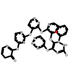 [O]C1=NC(Oc2ccnnn2)=C(Oc2nccnc2Oc2nnccc2Oc2nccc(OC3=NC=CCC3=O)n2)N(c2ccccc2)N1